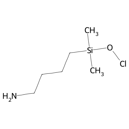 C[Si](C)(CCCCN)OCl